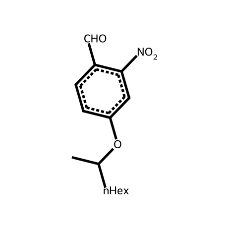 CCCCCCC(C)Oc1ccc(C=O)c([N+](=O)[O-])c1